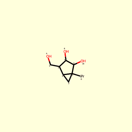 CC(C)C12CC1C(CO)C(O)C2O